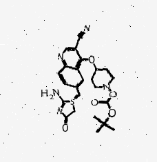 CC(C)(C)OC(=O)ON1CCC(Oc2c(C#N)cnc3ccc(/C=S4/CC(=O)N=C4N)cc23)CC1